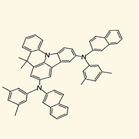 Cc1cc(C)cc(N(c2ccc3ccccc3c2)c2ccc3c(c2)c2cc(N(c4cc(C)cc(C)c4)c4ccc5ccccc5c4)cc4c2n3-c2ccccc2C4(C)C)c1